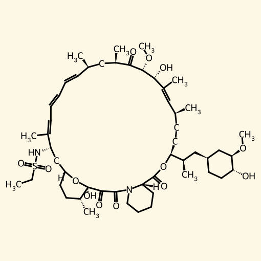 CCS(=O)(=O)N[C@H]1C[C@@H]2CC[C@@H](C)[C@@](O)(O2)C(=O)C(=O)N2CCCC[C@H]2C(=O)O[C@H]([C@H](C)C[C@@H]2CC[C@@H](O)[C@H](OC)C2)CC[C@H](C)/C=C(\C)[C@@H](O)[C@@H](OC)C(=O)[C@H](C)C[C@H](C)/C=C/C=C/C=C/1C